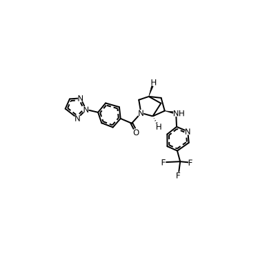 O=C(c1ccc(-n2nccn2)cc1)N1C[C@@H]2C[C@@H](Nc3ccc(C(F)(F)F)cn3)[C@@H]1C2